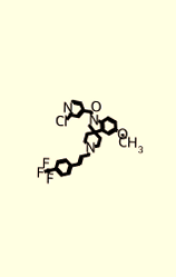 COc1ccc2c(c1)C1(CCN(C/C=C/c3ccc(C(F)(F)F)cc3)CC1)CN2C(=O)c1ccnc(Cl)c1